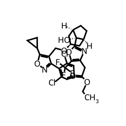 CCOC(=O)Cc1nc([C@@]2(O)[C@@H]3CC[C@H]2C[C@@H](OCc2c(-c4c(Cl)cccc4Cl)noc2C2CC2)C3)oc1C(F)(F)F